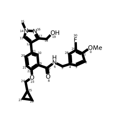 COc1ccc(CNC(=O)c2cc(-c3cn(C)nc3CO)ccc2OCC2CC2)cc1F